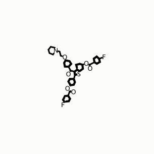 O=C(Oc1ccc(-c2sc3cc(OC(=O)c4ccc(F)cc4)ccc3c2C(=O)c2ccc(OCCN3CCCCC3)cc2)cc1)c1ccc(F)cc1